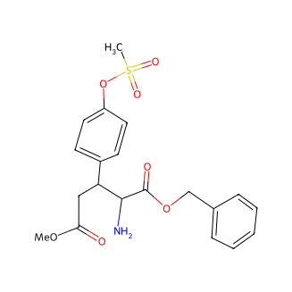 COC(=O)CC(c1ccc(OS(C)(=O)=O)cc1)C(N)C(=O)OCc1ccccc1